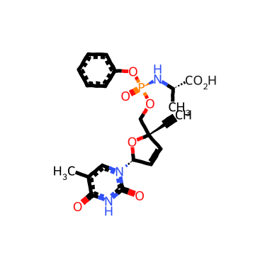 C#C[C@@]1(CO[P@@](=O)(N[C@@H](C)C(=O)O)Oc2ccccc2)C=C[C@H](n2cc(C)c(=O)[nH]c2=O)O1